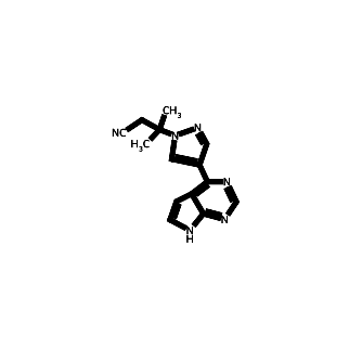 CC(C)(CC#N)n1cc(-c2ncnc3[nH]ccc23)cn1